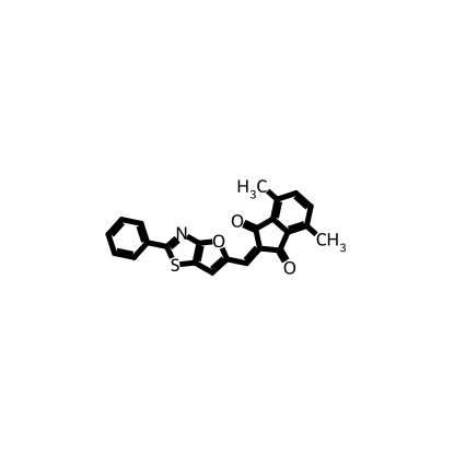 Cc1ccc(C)c2c1C(=O)C(=Cc1cc3sc(-c4ccccc4)nc3o1)C2=O